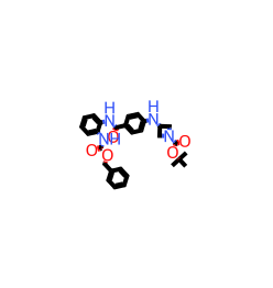 CC(C)(C)OC(=O)N1CC(Nc2ccc(C(=O)Nc3ccccc3NC(=O)OCc3ccccc3)cc2)C1